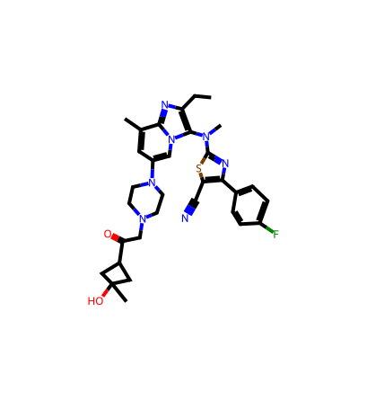 CCc1nc2c(C)cc(N3CCN(CC(=O)C4CC(C)(O)C4)CC3)cn2c1N(C)c1nc(-c2ccc(F)cc2)c(C#N)s1